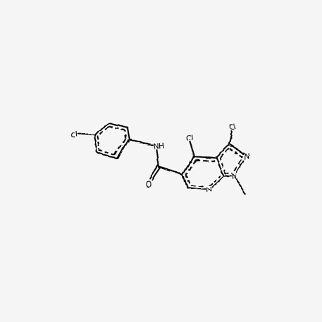 Cn1nc(Cl)c2c(Cl)c(C(=O)Nc3ccc(Cl)cc3)cnc21